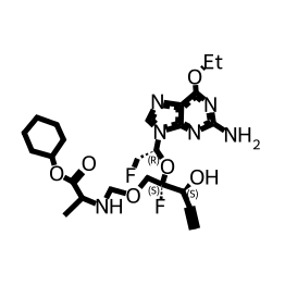 C#C[C@H](O)[C@@](F)(COCNC(C)C(=O)OC1CCCCC1)O[C@H](CF)n1cnc2c(OCC)nc(N)nc21